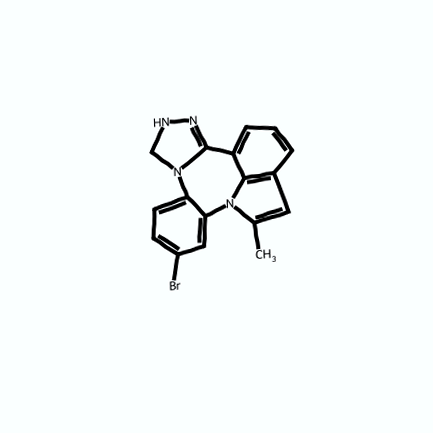 Cc1cc2cccc3c4n(c5ccc(Br)cc5n1c23)CNN=4